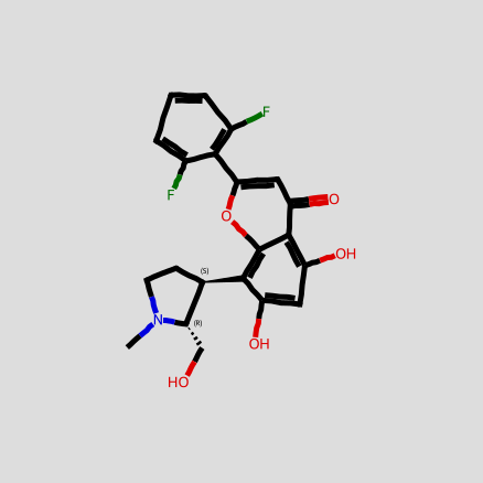 CN1CC[C@@H](c2c(O)cc(O)c3c(=O)cc(-c4c(F)cccc4F)oc23)[C@@H]1CO